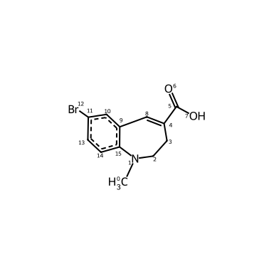 CN1CCC(C(=O)O)=Cc2cc(Br)ccc21